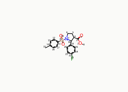 COC(=O)C1CCN(S(=O)(=O)c2ccc(C)cc2)C1c1ccc(F)cc1